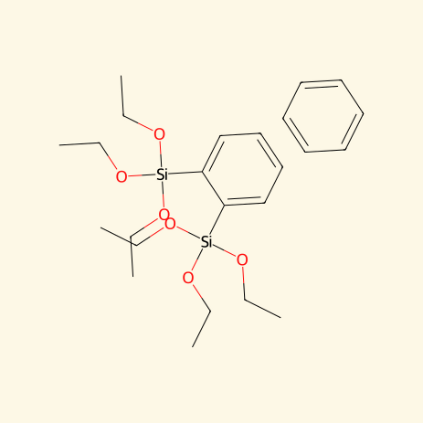 CCO[Si](OCC)(OCC)c1ccccc1[Si](OCC)(OCC)OCC.c1ccccc1